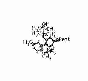 C=C(C)[C@@H]1CCC(C)=C[C@H]1c1c(O)cc(CCCCC)cc1CC(C)(C)[Si](C)(C)O